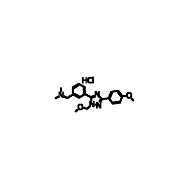 COCn1nc(-c2ccc(OC)cc2)nc1-c1cccc(CN(C)C)c1.Cl